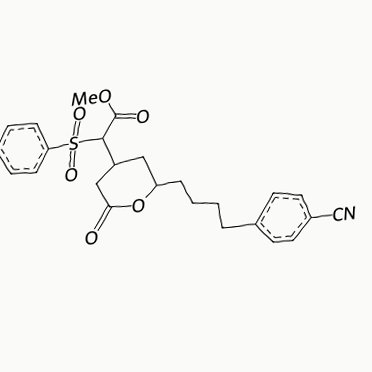 COC(=O)C(C1CC(=O)OC(CCCCc2ccc(C#N)cc2)C1)S(=O)(=O)c1ccccc1